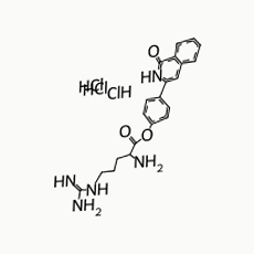 Cl.Cl.Cl.N=C(N)NCCCC(N)C(=O)Oc1ccc(-c2cc3ccccc3c(=O)[nH]2)cc1